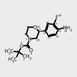 CC(C)(C)OC(=O)N1CCO[C@@H](c2ccc(N)c(F)c2)C1